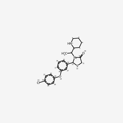 CC(C1CCCCN1)N1C(=O)CSC1c1cccc(Oc2ccc(Cl)cc2)c1